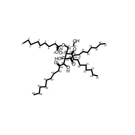 CCCCCCCCC(=O)O[C@H](CO)[C@@](O)(C(=O)CCCCCCCC)[C@](O)(C(=O)CCCCCCCC)C(O)C(=O)CCCCCCCC